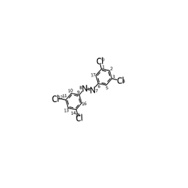 Clc1cc(Cl)cc(/N=N/c2cc(Cl)cc(Cl)c2)c1